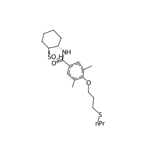 CCCSCCCOc1c(C)cc(C(=O)N[C@H]2CCCC[C@@H]2S(=O)(=O)O)cc1C